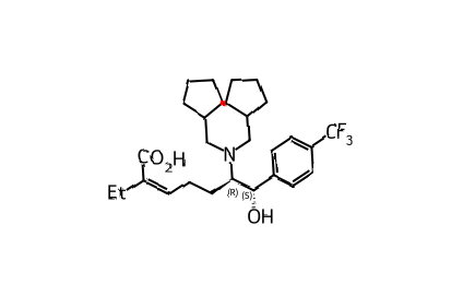 CCC(=CCC[C@H]([C@@H](O)c1ccc(C(F)(F)F)cc1)N(CC1CCCC1)CC1CCCC1)C(=O)O